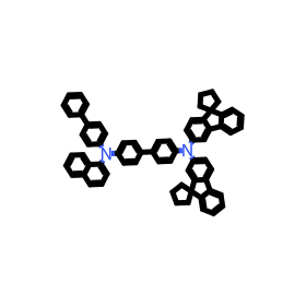 c1ccc(-c2ccc(N(c3ccc(-c4ccc(N(c5ccc6c(c5)-c5ccccc5C65CCCC5)c5ccc6c(c5)C5(CCCC5)c5ccccc5-6)cc4)cc3)c3cccc4ccccc34)cc2)cc1